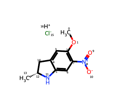 COc1cc2c(cc1[N+](=O)[O-])N[C@H](C)C2.[Cl-].[H+]